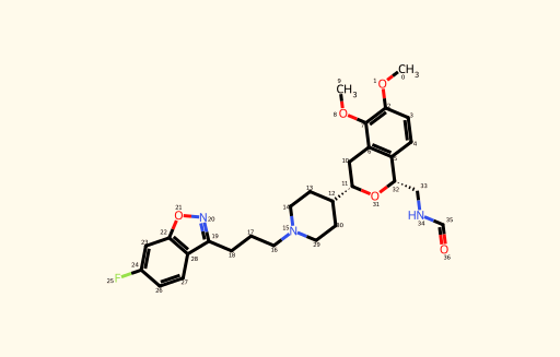 COc1ccc2c(c1OC)C[C@@H](C1CCN(CCCc3noc4cc(F)ccc34)CC1)O[C@H]2CNC=O